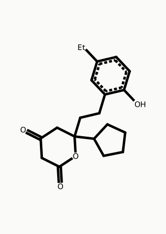 CCc1ccc(O)c(CCC2(C3CCCC3)CC(=O)CC(=O)O2)c1